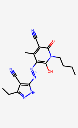 CCCCn1c(O)c(/N=N/c2[nH]nc(CC)c2C#N)c(C)c(C#N)c1=O